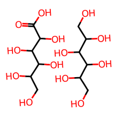 O=C(O)C(O)C(O)C(O)C(O)CO.OCC(O)C(O)C(O)C(O)CO